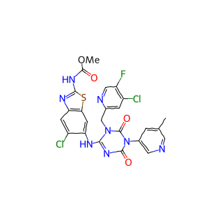 COC(=O)Nc1nc2cc(Cl)c(Nc3nc(=O)n(-c4cncc(C)c4)c(=O)n3Cc3cc(Cl)c(F)cn3)cc2s1